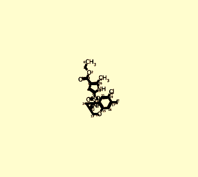 CCOC(=O)c1cc(S(=O)(=O)NC23COc4cc(F)c(Cl)cc4C2C3)[nH]c1C